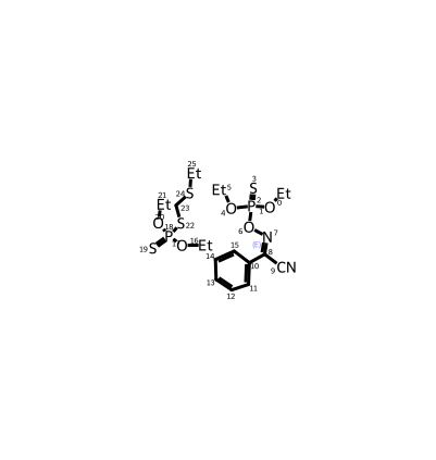 CCOP(=S)(OCC)O/N=C(/C#N)c1ccccc1.CCOP(=S)(OCC)SCSCC